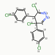 ClC1=NN=CC(Cl)(c2ccc(Cl)cc2)C1c1ccc(Cl)cc1